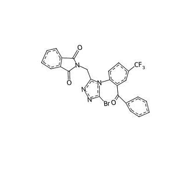 O=C(c1ccccc1)c1cc(C(F)(F)F)ccc1-n1c(Br)nnc1CN1C(=O)c2ccccc2C1=O